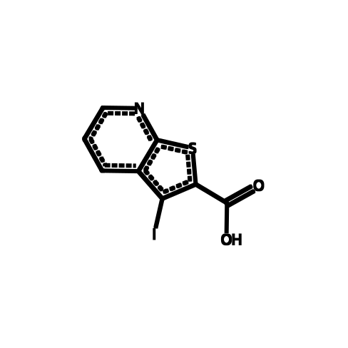 O=C(O)c1sc2ncccc2c1I